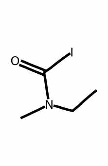 CCN(C)C(=O)I